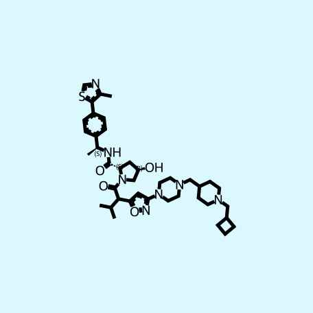 Cc1ncsc1-c1ccc([C@H](C)NC(=O)[C@@H]2C[C@@H](O)CN2C(=O)C(c2cc(N3CCN(CC4CCN(CC5CCC5)CC4)CC3)no2)C(C)C)cc1